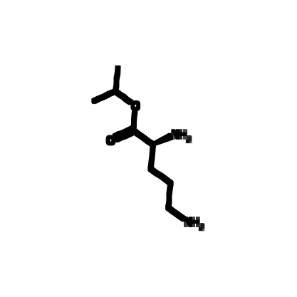 CC(C)OC(=O)[C@@H](N)CCCN